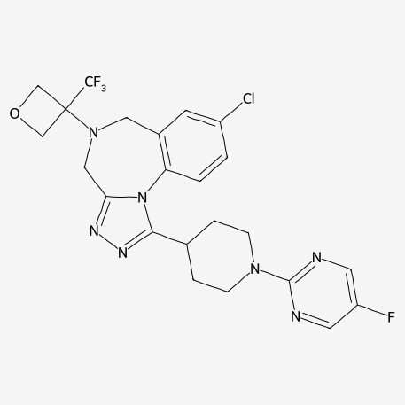 Fc1cnc(N2CCC(c3nnc4n3-c3ccc(Cl)cc3CN(C3(C(F)(F)F)COC3)C4)CC2)nc1